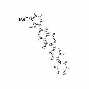 COc1cccc(-c2ccc3c(=O)n(-c4ncc(N5CCCCC5)cn4)ncc3c2)c1C